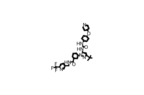 CC(C)(C)c1cc(NC(=O)Nc2ccc(Oc3ccncc3)cc2)n(-c2cccc(C(=O)NCc3ccc(C(F)(F)F)nc3)c2)n1